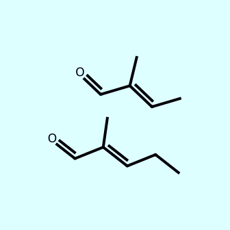 C/C=C(\C)C=O.CC/C=C(\C)C=O